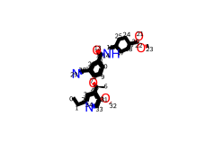 CCc1cc([C@H](C)Oc2ccc(C(=O)NCC3CCC(C(=O)OC)CC3)cc2C#N)c(OC)cn1